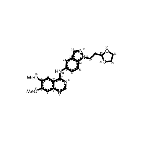 COc1cc2ncnc(Nc3ccc4c(cnn4CCC4OCCO4)c3)c2cc1OC